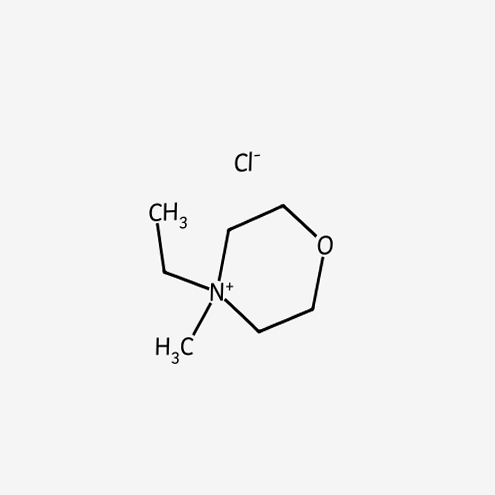 CC[N+]1(C)CCOCC1.[Cl-]